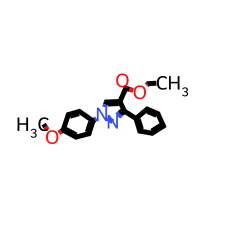 CCOC(=O)c1cn(-c2ccc(OC)cc2)nc1-c1ccccc1